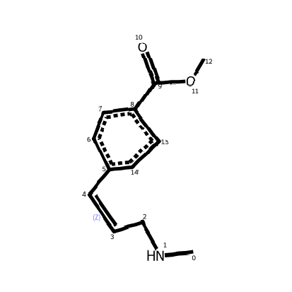 CNC/C=C\c1ccc(C(=O)OC)cc1